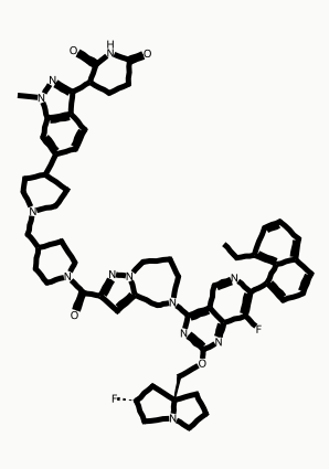 CCc1cccc2cccc(-c3ncc4c(N5CCCn6nc(C(=O)N7CCC(CN8CCC(c9ccc%10c(C%11CCC(=O)NC%11=O)nn(C)c%10c9)CC8)CC7)cc6C5)nc(OC[C@@]56CCCN5C[C@H](F)C6)nc4c3F)c12